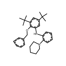 CC(C)(C)c1cc(Pc2ccccc2N2CCCCC2)c(OCc2ccccc2)c(C(C)(C)C)c1